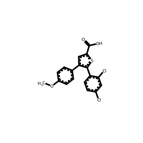 COc1ccc(-c2cc(C(=O)O)sc2-c2ccc(Cl)cc2Cl)cc1